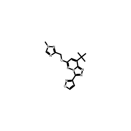 Cn1cnc(COc2cc(C(C)(C)C)c3nnc(-c4ccon4)n3n2)n1